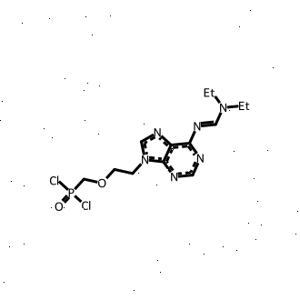 CCN(C=Nc1ncnc2c1ncn2CCOCP(=O)(Cl)Cl)CC